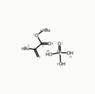 C=C(CCCC)C(=O)OCCCC.O=P(O)(O)O